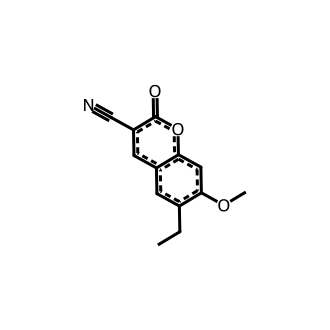 CCc1cc2cc(C#N)c(=O)oc2cc1OC